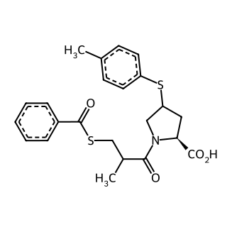 Cc1ccc(SC2C[C@@H](C(=O)O)N(C(=O)C(C)CSC(=O)c3ccccc3)C2)cc1